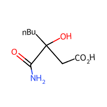 CCCCC(O)(CC(=O)O)C(N)=O